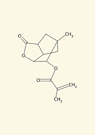 C=C(C)C(=O)OC1C2OC(=O)C3CC1(C)CC32